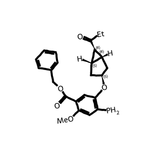 CCC(=O)[C@H]1[C@@H]2C[C@@H](Oc3cc(C(=O)OCc4ccccc4)c(OC)cc3P)C[C@@H]21